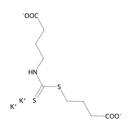 O=C([O-])CCCNC(=S)SCCCC(=O)[O-].[K+].[K+]